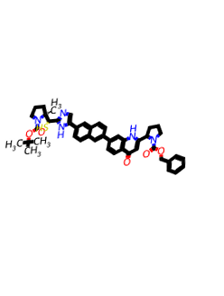 CC(C)(C)OC(=O)N1CCC[C@@]1(C)C(S)c1ncc(-c2ccc3cc(-c4ccc5c(=O)cc(C6CCCN6C(=O)OCc6ccccc6)[nH]c5c4)ccc3c2)[nH]1